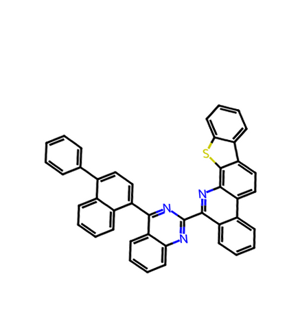 c1ccc(-c2ccc(-c3nc(-c4nc5c(ccc6c7ccccc7sc65)c5ccccc45)nc4ccccc34)c3ccccc23)cc1